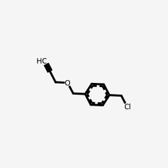 C#CCOCc1ccc(CCl)cc1